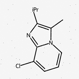 Cc1c(C(C)C)nc2c(Cl)cccn12